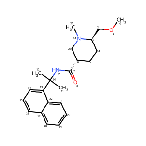 COC[C@H]1CC[C@H](C(=O)NC(C)(C)c2cccc3ccccc23)CN1C